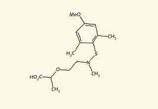 COc1cc(C)c(SN(C)CCOC(C)C(=O)O)c(C)c1